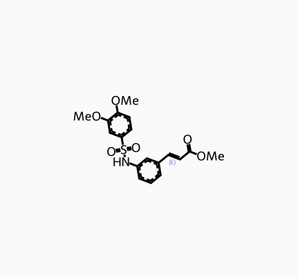 COC(=O)/C=C/c1cccc(NS(=O)(=O)c2ccc(OC)c(OC)c2)c1